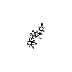 COc1cccc(OCC(=O)N2C[C@@H](C)N(Cc3ccc(F)cc3)C[C@@H]2C)c1OC